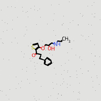 C=CCNCC(O)COc1ccsc1C(=O)CCc1ccccc1